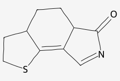 O=C1N=CC2=C3SCCC3CCC12